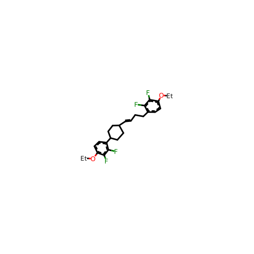 CCOc1ccc(CCC=CC2CCC(c3ccc(OCC)c(F)c3F)CC2)c(F)c1F